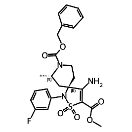 COC(=O)C1=C(N)[C@]2(CCN(C(=O)OCc3ccccc3)[C@@H](C)C2)N(c2cccc(F)c2)S1(=O)=O